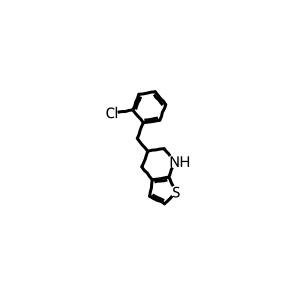 Clc1ccccc1CC1CNc2sccc2C1